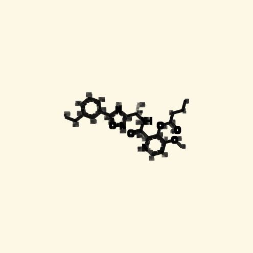 CCCC(=O)Oc1c(OC)ccnc1C(=O)N[C@@H](C)c1noc(-c2cccc(CC)c2)n1